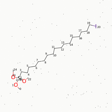 CO[Si](CCCCCCCCCCCCCCCCCI)(OC)OC